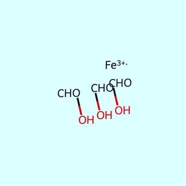 O=[C-]O.O=[C-]O.O=[C-]O.[Fe+3]